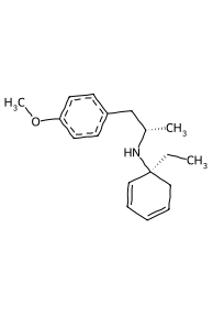 CC[C@@]1(N[C@@H](C)Cc2ccc(OC)cc2)C=CC=CC1